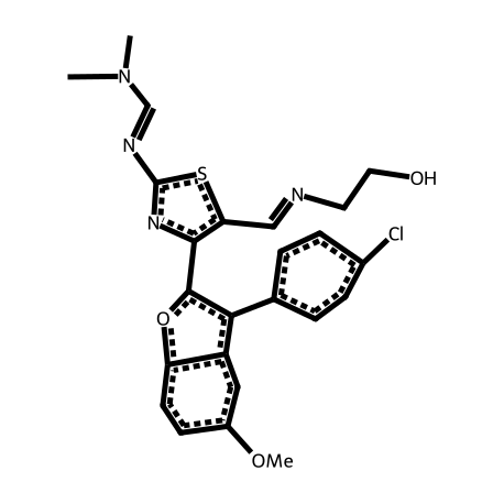 COc1ccc2oc(-c3nc(N=CN(C)C)sc3C=NCCO)c(-c3ccc(Cl)cc3)c2c1